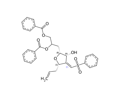 C=CC[C@@H]1O[C@H](CC(COC(=O)c2ccccc2)OC(=O)c2ccccc2)[C@H](O)/C1=C\S(=O)(=O)c1ccccc1